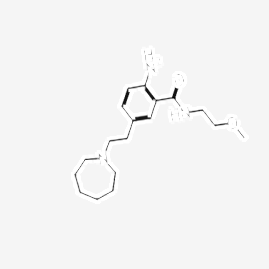 COCCNC(=O)c1cc(CCN2CCCCCC2)ccc1N